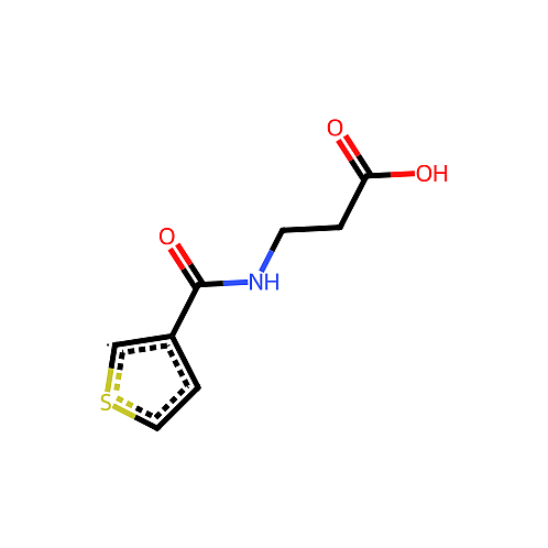 O=C(O)CCNC(=O)c1[c]scc1